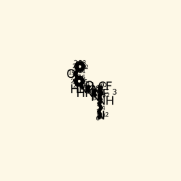 CN(C)CCCNc1nc(NC(=O)Nc2ccc(C(=O)c3ccccc3)cc2)nc(C(F)(F)F)c1F